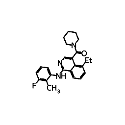 CCc1cccc2c(Nc3cccc(F)c3C)ncc(C(=O)N3CCCCC3)c12